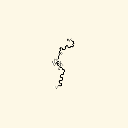 CC/C=C\C/C=C\C/C=C\C/C=C\C/C=C\C/C=C\CCC(=O)OCCCNC(=O)C(O)C(C)(C)COC(=O)CC/C=C\C/C=C\C/C=C\C/C=C\C/C=C\C/C=C\CC